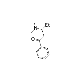 CCC(CC(=O)c1ccccc1)N(C)C